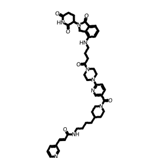 O=C(/C=C/c1cccnc1)NCCCCC1CCN(C(=O)c2ccc(N3CCN(C(=O)CCCNc4cccc5c4CN(C4CCC(=O)NC4=O)C5=O)CC3)nc2)CC1